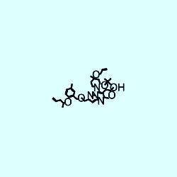 C=CCOC1(C)CCN(c2c(C(OC(C)(C)C)C(=O)O)c(C)nc3cc(COCc4cc(C)ccc4OC(C)CC=C)nn23)CC1